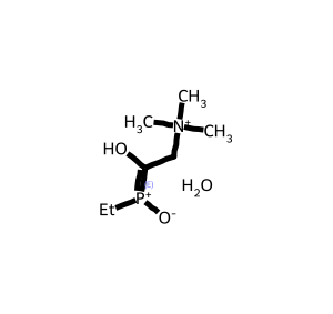 CC/[P+]([O-])=C(\O)C[N+](C)(C)C.O